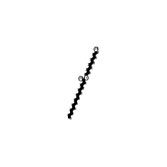 CCCCCCCCCCCCCCCC(=O)OCCCCCCCCCC=O